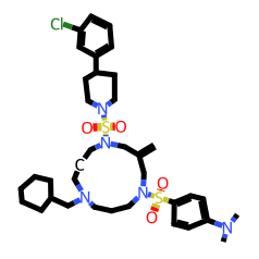 C=C1CN(S(=O)(=O)c2ccc(N(C)C)cc2)CCCN(CC2CCCCC2)CCCN(S(=O)(=O)N2CCC(c3cccc(Cl)c3)CC2)C1